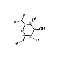 OC[C@H]1OC(C(F)F)[C@H](O)[C@@H](O)[C@@H]1O